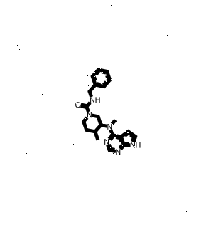 CC1CCN(C(=O)NCc2ccccc2)CC1N(C)c1ncnc2[nH]ccc12